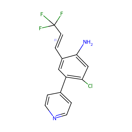 Nc1cc(Cl)c(-c2ccncc2)cc1/C=C/C(F)(F)F